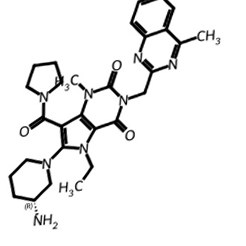 CCn1c(N2CCC[C@@H](N)C2)c(C(=O)N2CCCC2)c2c1c(=O)n(Cc1nc(C)c3ccccc3n1)c(=O)n2C